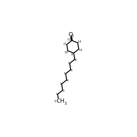 CCCCCCCCCC1CCC(=O)CC1